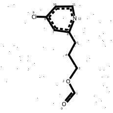 O=[C]OCCCc1cc(Cl)ccn1